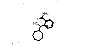 NC(=O)c1ccccc1C(O)C1CCCCCC1